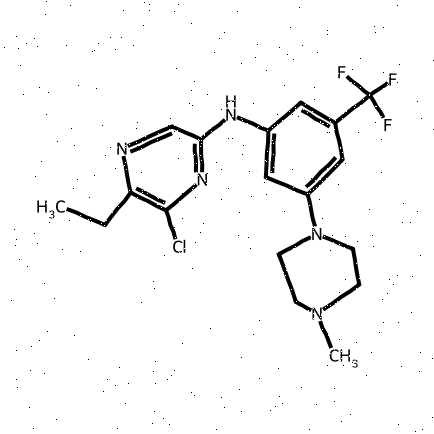 CCc1ncc(Nc2cc(N3CCN(C)CC3)cc(C(F)(F)F)c2)nc1Cl